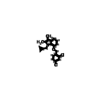 Cc1c(C)n(CC2CC2)c2c(OCc3ccc(Cl)cc3Cl)ccnc12